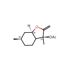 C=C1O[C@@H]2C[C@H](C)CCC2[C@]1(C)OC(C)=O